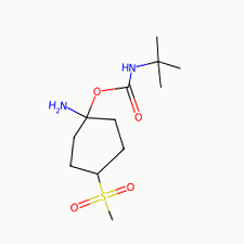 CC(C)(C)NC(=O)OC1(N)CCC(S(C)(=O)=O)CC1